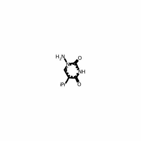 CC(C)c1cn(N)c(=O)[nH]c1=O